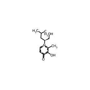 Cc1c(O)c(=O)ccn1[C@H](CO)CC(C)C